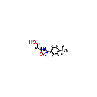 CC(C)(C)c1ccc(-c2noc(CCO)n2)cc1